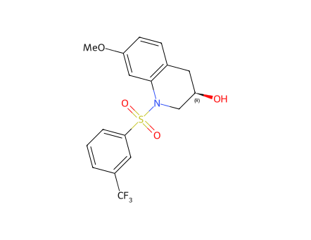 COc1ccc2c(c1)N(S(=O)(=O)c1cccc(C(F)(F)F)c1)C[C@H](O)C2